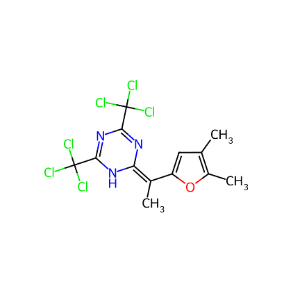 C/C(=C1/N=C(C(Cl)(Cl)Cl)N=C(C(Cl)(Cl)Cl)N1)c1cc(C)c(C)o1